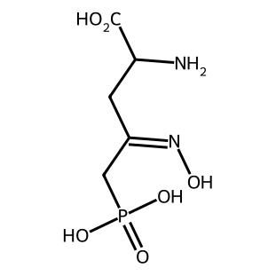 NC(CC(CP(=O)(O)O)=NO)C(=O)O